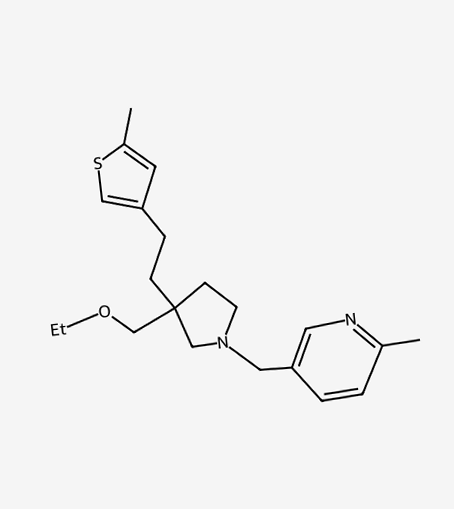 CCOCC1(CCc2csc(C)c2)CCN(Cc2ccc(C)nc2)C1